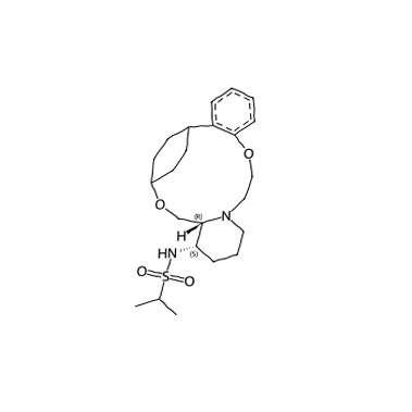 CC(C)S(=O)(=O)N[C@H]1CCCN2CCOc3ccccc3C3CCC(CC3)OC[C@@H]12